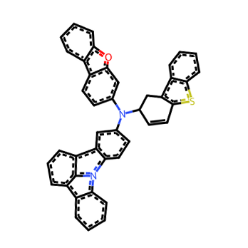 C1=CC(N(c2ccc3c(c2)oc2ccccc23)c2ccc3c(c2)c2cccc4c5ccccc5n3c42)Cc2c1sc1ccccc21